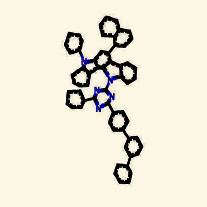 c1ccc(-c2cccc(-c3ccc(-c4nc(-c5ccccc5)nc(-n5c6ccccc6c6c(-c7cccc8ccccc78)cc7c(c8ccccc8n7-c7ccccc7)c65)n4)cc3)c2)cc1